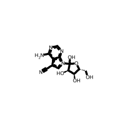 N#Cc1cn(C2(O)O[C@H](CO)[C@@H](O)[C@H]2O)c2ncnc(N)c12